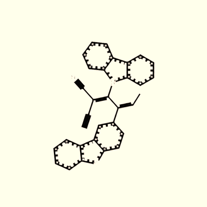 C#C/C(C#N)=C(\C(=C/C)c1ccc2sc3ccccc3c2c1)n1c2ccccc2c2ccccc21